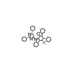 CC1(C)c2ccccc2-c2c1c1c3ccccc3n(-c3cc(-c4ccccc4)nc(-c4ccccc4)n3)c1c1oc3ccccc3c21